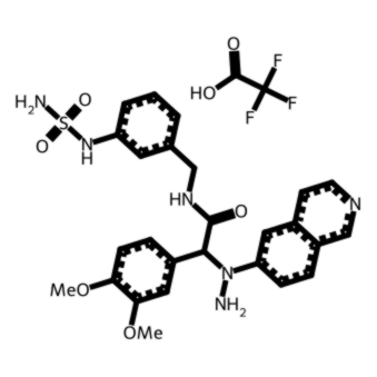 COc1ccc(C(C(=O)NCc2cccc(NS(N)(=O)=O)c2)N(N)c2ccc3cnccc3c2)cc1OC.O=C(O)C(F)(F)F